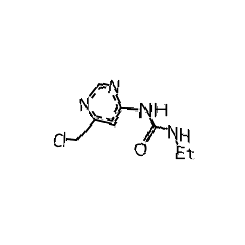 CCNC(=O)Nc1cc(CCl)ncn1